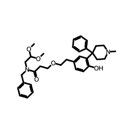 COC(CN(Cc1ccccc1)C(=O)CCOCCc1ccc(O)c(C2(c3ccccc3)CCN(C)CC2)c1)OC